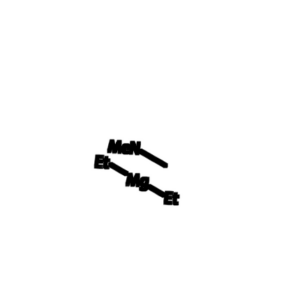 CNC.C[CH2][Mg][CH2]C